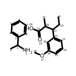 CC(N)c1ccccc1.CCC(c1cccc(OC)c1)C(C)C(=O)O